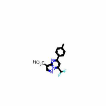 Cc1ccc(-c2cc(C(F)F)n3ncc(C(=O)O)c3n2)cc1